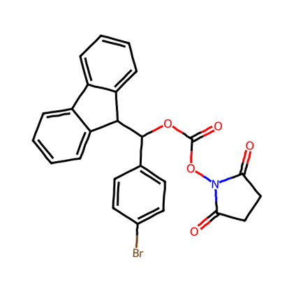 O=C(OC(c1ccc(Br)cc1)C1c2ccccc2-c2ccccc21)ON1C(=O)CCC1=O